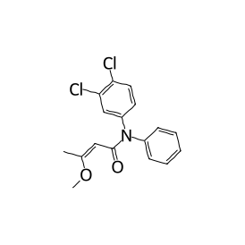 CO/C(C)=C\C(=O)N(c1ccccc1)c1ccc(Cl)c(Cl)c1